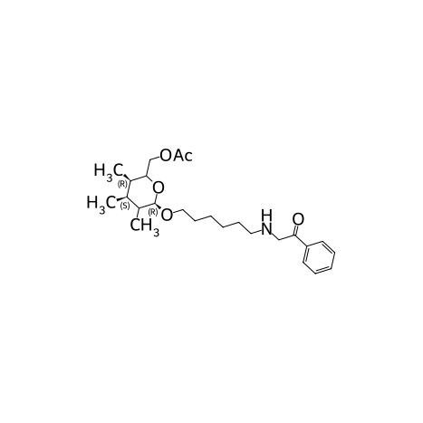 CC(=O)OCC1O[C@@H](OCCCCCCNCC(=O)c2ccccc2)C(C)[C@@H](C)[C@H]1C